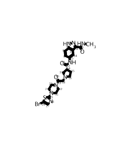 CNC(=O)c1n[nH]c2ccc(NC(=O)[C@@H]3CCN(CC(=O)N4CCN(c5ncc(Br)s5)CC4)C3)cc12